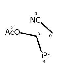 CC#N.CC(=O)OCC(C)C